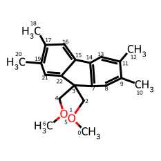 COCC1(COC)c2cc(C)c(C)cc2-c2cc(C)c(C)cc21